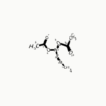 CB=BN(OC(C)=O)OC(C)=O